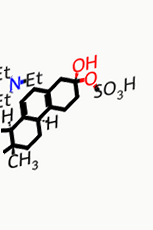 CCN(CC)CC.C[C@]12CC[C@H]3C(=CCC4=C3CC[C@@](O)(OS(=O)(=O)O)C4)[C@@H]1CCC2=O